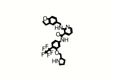 O=C(Nc1ccc(C(F)(F)C(F)(F)F)c(OCC2CCCN2)c1)c1cccnc1NCc1ccc2c(c1)CCO2